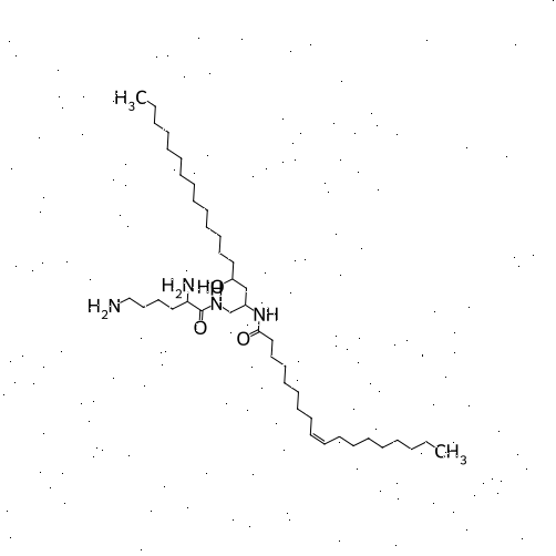 CCCCCCCC/C=C\CCCCCCCC(=O)NC(CNC(=O)C(N)CCCCN)CC(O)CCCCCCCCCCCCCC